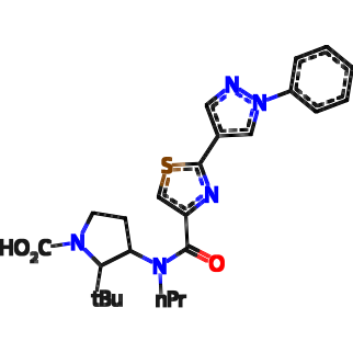 CCCN(C(=O)c1csc(-c2cnn(-c3ccccc3)c2)n1)C1CCN(C(=O)O)C1C(C)(C)C